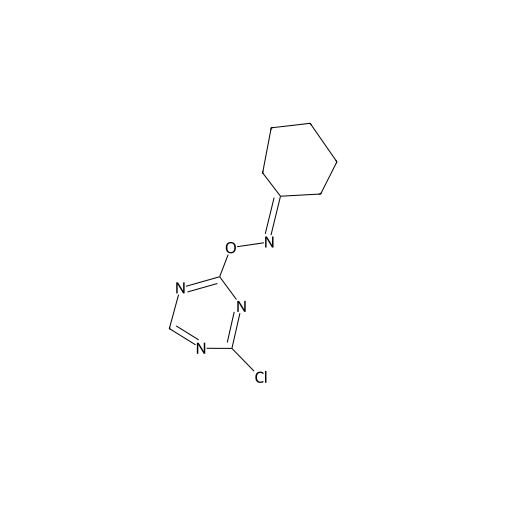 Clc1ncnc(ON=C2CCCCC2)n1